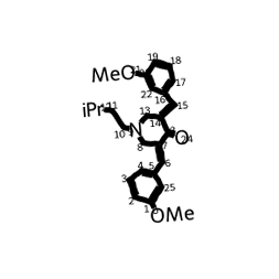 COc1cccc(/C=C2\CN(CCC(C)C)C/C(=C\c3cccc(OC)c3)C2=O)c1